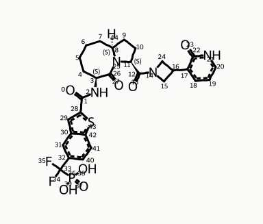 O=C(N[C@H]1CCCC[C@H]2CC[C@@H](C(=O)N3CC(c4ccc[nH]c4=O)C3)N2C1=O)c1cc2cc(C(F)(F)P(=O)(O)O)ccc2s1